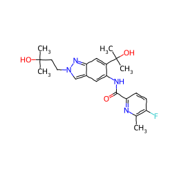 Cc1nc(C(=O)Nc2cc3cn(CCC(C)(C)O)nc3cc2C(C)(C)O)ccc1F